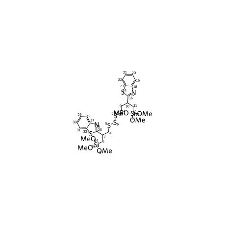 CO[Si](CC(CSSSSCC(C[Si](OC)(OC)OC)c1nc2ccccc2s1)c1nc2ccccc2s1)(OC)OC